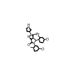 Cc1cc(Cl)ccc1C1c2c(nn(-c3cc[nH]c3)c2C(C)C)C(=O)N1c1cc(Cl)ccc1C